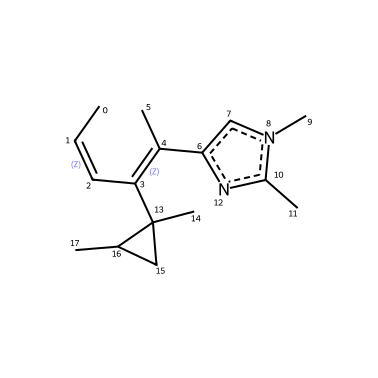 C/C=C\C(=C(/C)c1cn(C)c(C)n1)C1(C)CC1C